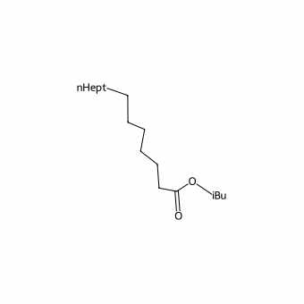 CCCCCCCCCCCCCC(=O)OC(C)CC